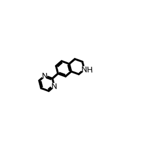 c1cnc(-c2ccc3c(c2)CNCC3)nc1